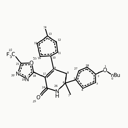 CCCCOc1ccc(C2(C)CC(c3ccc(C)cc3)=C(c3nnc(C(F)(F)F)o3)C(=O)N2)cc1